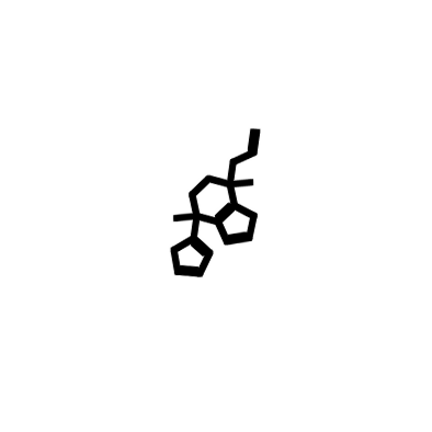 C=CCC1(C)CCC(C)(C2=CC=CC2)C2=C1CC=C2